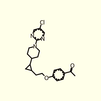 CC(=O)c1ccc(OCCC2CC2C2CCN(c3ncc(Cl)cn3)CC2)cc1